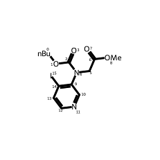 CCCCOC(=O)N(CC(=O)OC)c1cnccc1I